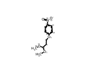 COC(CCOc1ccc([N+](=O)[O-])cc1)OC